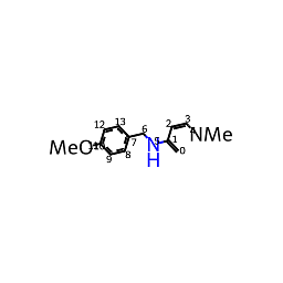 C=C(/C=C\NC)NCc1ccc(OC)cc1